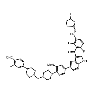 CNc1cc(-c2cnc3[nH]cc(C(=O)c4c(F)ccc(NSN5CCC(F)C5)c4F)c3c2)ccc1N1CCC(CN2CCC(c3ccc(C=O)c(C)c3)CC2)CC1